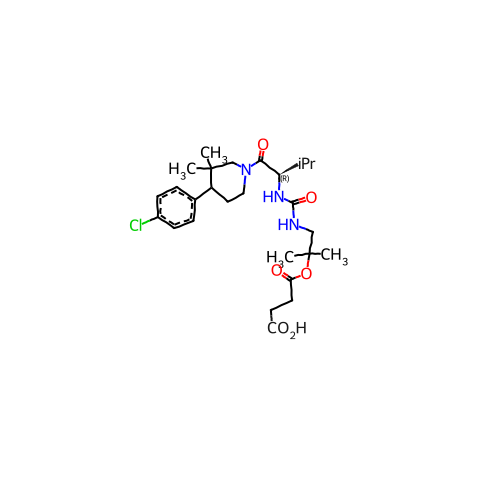 CC(C)[C@@H](NC(=O)NCC(C)(C)OC(=O)CCC(=O)O)C(=O)N1CCC(c2ccc(Cl)cc2)C(C)(C)C1